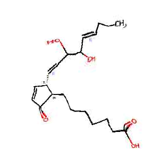 CC/C=C/C(O)C(O)/C=C/[C@H]1C=CC(=O)[C@@H]1CCCCCCC(=O)O